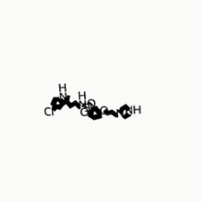 O=S(=O)(NCCCc1c[nH]c2ccc(Cl)cc12)c1cccc(OCCCN2CCNCC2)c1